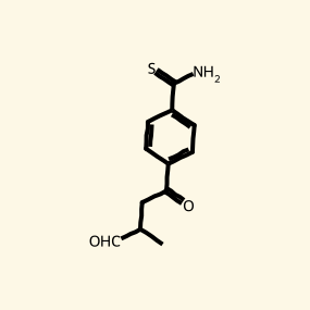 CC(C=O)CC(=O)c1ccc(C(N)=S)cc1